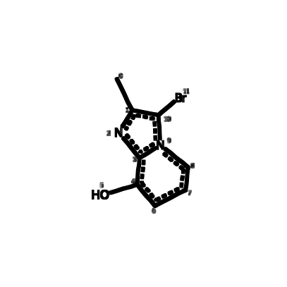 Cc1nc2c(O)cccn2c1Br